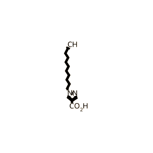 C#CCCCCCCCCCn1cc(C(=O)O)cn1